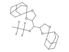 CC(F)(F)C(F)(F)OC(C1COC2(O1)C1CC3CC(C1)CC2C3)C1COC2(O1)C1CC3CC(C1)CC2C3